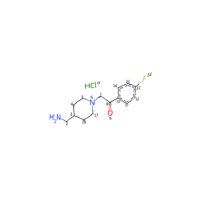 Cl.NCC1CCN(CC(=O)c2ccc(F)cc2)CC1